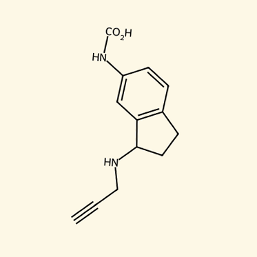 C#CCNC1CCc2ccc(NC(=O)O)cc21